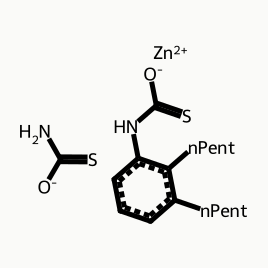 CCCCCc1cccc(NC([O-])=S)c1CCCCC.NC([O-])=S.[Zn+2]